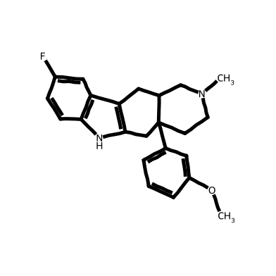 COc1cccc(C23CCN(C)CC2Cc2c([nH]c4ccc(F)cc24)C3)c1